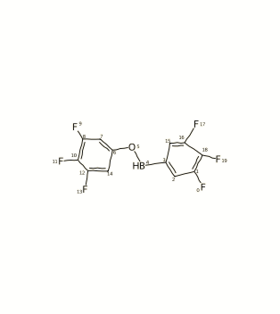 Fc1cc(BOc2cc(F)c(F)c(F)c2)cc(F)c1F